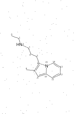 CCNCCCc1c(C)cc2ccccn12